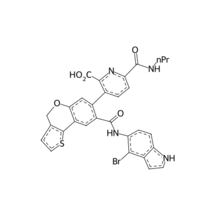 CCCNC(=O)c1ccc(-c2cc3c(cc2C(=O)Nc2ccc4[nH]ccc4c2Br)-c2sccc2CO3)c(C(=O)O)n1